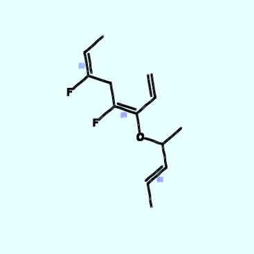 C=C/C(OC(C)/C=C/C)=C(/F)C/C(F)=C\C